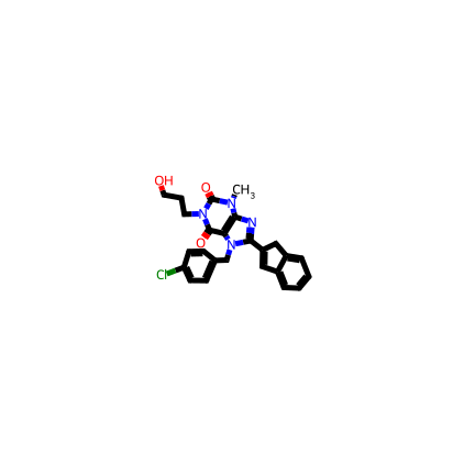 Cn1c(=O)n(CCCO)c(=O)c2c1nc(C1=Cc3ccccc3C1)n2Cc1ccc(Cl)cc1